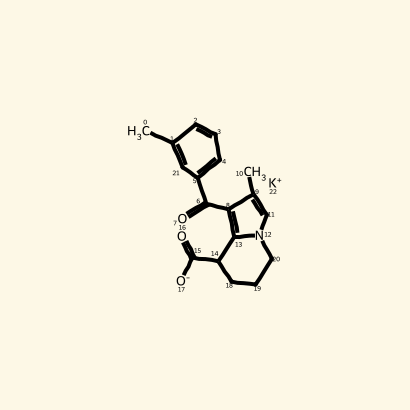 Cc1cccc(C(=O)c2c(C)cn3c2C(C(=O)[O-])CCC3)c1.[K+]